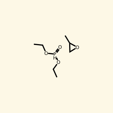 CC1CO1.CCO[PH](=O)OCC